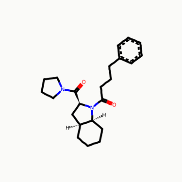 O=C([C@@H]1C[C@@H]2CCCC[C@@H]2N1C(=O)CCCc1ccccc1)N1CCCC1